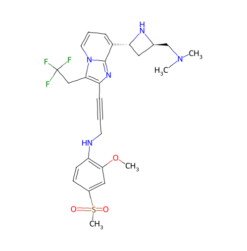 COc1cc(S(C)(=O)=O)ccc1NCC#Cc1nc2c([C@H]3C[C@H](CN(C)C)N3)cccn2c1CC(F)(F)F